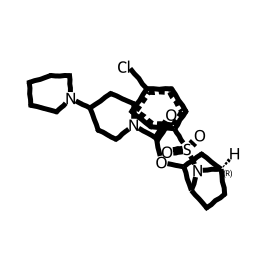 O=C(OC1C[C@H]2CCC1N2S(=O)(=O)c1ccc(Cl)cc1)N1CCC(N2CCCCC2)CC1